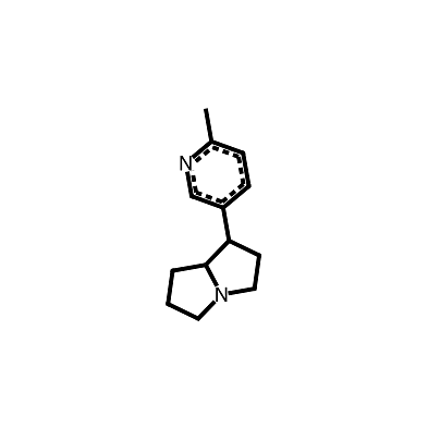 Cc1ccc(C2CCN3CCCC23)cn1